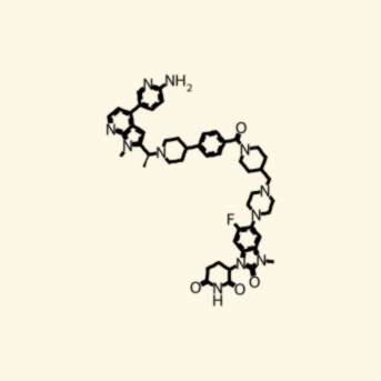 C[C@@H](c1cc2c(-c3ccc(N)nc3)ccnc2n1C)N1CCC(c2ccc(C(=O)N3CCC(CN4CCN(c5cc6c(cc5F)n(C5CCC(=O)NC5=O)c(=O)n6C)CC4)CC3)cc2)CC1